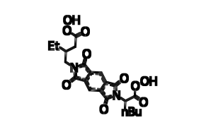 CCCCC(C(=O)OO)n1c(=O)c2cc3c(=O)n(CC(CC)CC(=O)OO)c(=O)c3cc2c1=O